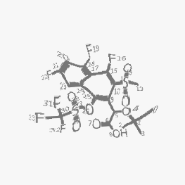 CC(C)(C)OC(C(=O)O)c1c(S(C)(=O)=O)c(F)c2c(F)cc(F)cc2c1OS(=O)(=O)C(F)(F)F